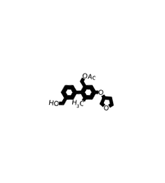 CC(=O)OCc1cc(OC2CCOC2)cc(C)c1-c1cccc(CO)c1